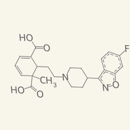 CC1(C(=O)O)C=CC=C(C(=O)O)C1CCN1CCC(c2noc3cc(F)ccc23)CC1